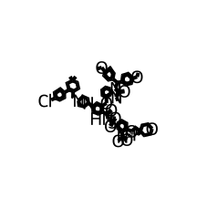 COc1ccc(C(c2ccc(OC)cc2)n2c(=O)n(C)c3c(Oc4cc(N5CCN(CC6=C(c7ccc(Cl)cc7)CC(C)(C)CC6)CC5)ccc4C(=O)NS(=O)(=O)c4ccc(OCC5(F)CCOCC5)c([N+](=O)[O-])c4)cccc32)cc1